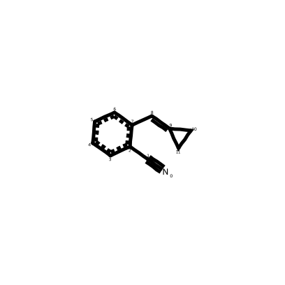 N#Cc1ccccc1C=C1CC1